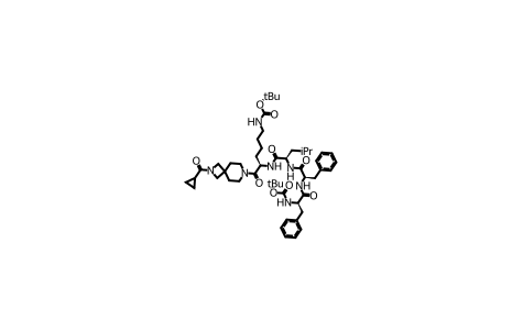 CC(C)C[C@@H](NC(=O)[C@@H](Cc1ccccc1)NC(=O)[C@@H](Cc1ccccc1)NC(=O)OC(C)(C)C)C(=O)N[C@H](CCCCNC(=O)OC(C)(C)C)C(=O)N1CCC2(CC1)CN(C(=O)C1CC1)C2